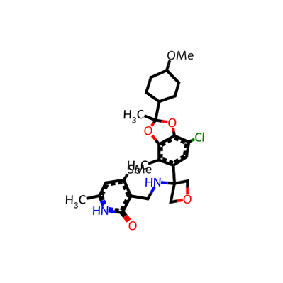 COC1CCC(C2(C)Oc3c(Cl)cc(C4(NCc5c(SC)cc(C)[nH]c5=O)COC4)c(C)c3O2)CC1